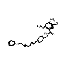 COc1cc(N)c(Cl)cc1C(=O)NCC1CCN(CCCCCCSc2ccccc2)CC1